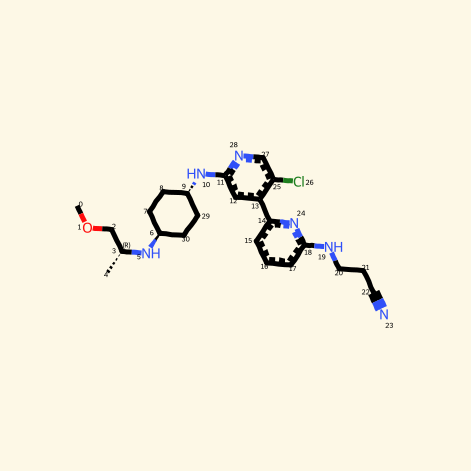 COC[C@@H](C)N[C@H]1CC[C@H](Nc2cc(-c3cccc(NCCC#N)n3)c(Cl)cn2)CC1